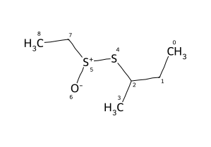 CCC(C)S[S+]([O-])CC